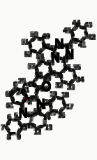 c1ccc(-n2c3ccccc3c3ccc4c5ccccc5n(-c5cccc6c5oc5c(-c7ccccc7-c7nc(-c8ccccc8)nc(-c8ccccc8)n7)cccc56)c4c32)cc#1